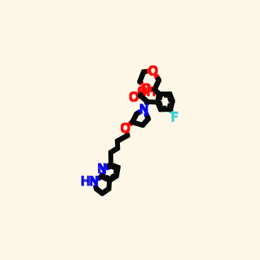 O=C(O)C(c1cc(F)ccc1C1COCCO1)N1CCC(OCCCCc2ccc3c(n2)NCCC3)C1